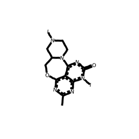 Cc1nc2c3c(nc(=O)n(I)c3n1)N1CCN(I)CC1CO2